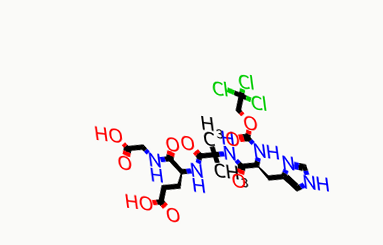 CC(C)(NC(=O)[C@H](Cc1c[nH]cn1)NC(=O)OCC(Cl)(Cl)Cl)C(=O)N[C@@H](CCC(=O)O)C(=O)NCC(=O)O